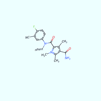 CCCCCN(C(=O)c1c(C)c(C(N)=O)c(C)n1C)c1ccc(F)c(C#N)c1